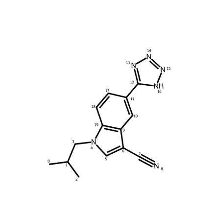 CC(C)Cn1cc(C#N)c2cc(-c3nnn[nH]3)ccc21